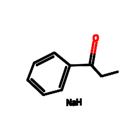 CCC(=O)c1ccccc1.[NaH]